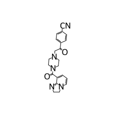 N#Cc1ccc(C(=O)CN2CCN(C(=O)C3=CC=CN4CCN=C34)CC2)cc1